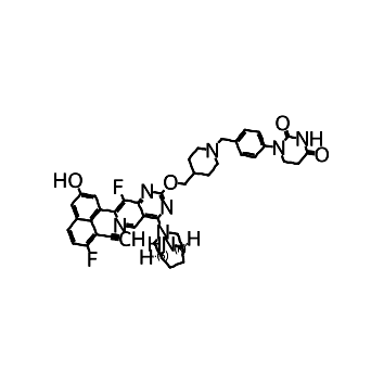 C#Cc1c(F)ccc2cc(O)cc(-c3ncc4c(N5C[C@H]6CC[C@@H](C5)N6)nc(OCC5CCN(Cc6ccc(N7CCC(=O)NC7=O)cc6)CC5)nc4c3F)c12